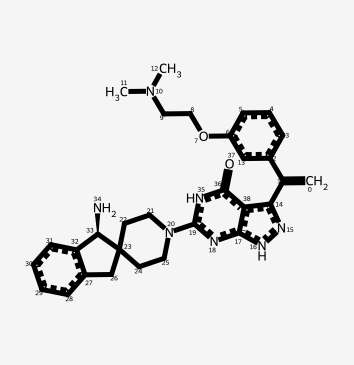 C=C(c1cccc(OCCN(C)C)c1)c1n[nH]c2nc(N3CCC4(CC3)Cc3ccccc3[C@H]4N)[nH]c(=O)c12